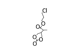 CC(C(=O)OCCCCl)C1COC(=O)OC1